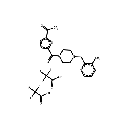 Cc1cccnc1CN1CCN(C(=O)c2ccc(C(=O)C(F)(F)F)s2)CC1.O=C(O)C(F)(F)F.O=C(O)C(F)(F)F